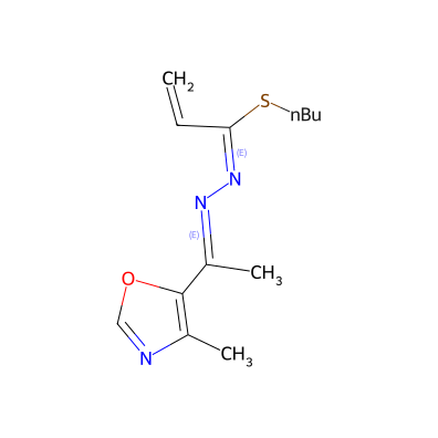 C=C/C(=N\N=C(/C)c1ocnc1C)SCCCC